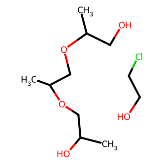 CC(O)COC(C)COC(C)CO.OCCCl